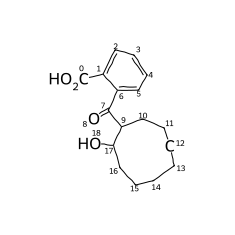 O=C(O)c1ccccc1C(=O)C1CCCCCCCC1O